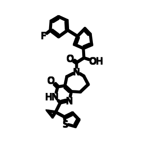 O=C(C(O)c1cccc(-c2cccc(F)c2)c1)N1CCCc2nc(C3(c4cccs4)CC3)[nH]c(=O)c2C1